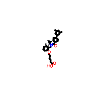 [2H]C1(N(Cc2ccccc2OCCCCCC(=O)O)C(=O)c2ccc(-c3cc(C)cc(C)c3)cc2)CC1